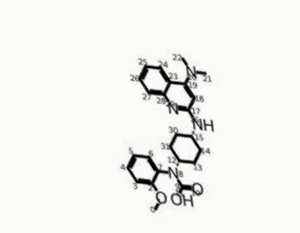 COc1ccccc1N(C(=O)O)[C@H]1CC[C@@H](Nc2cc(N(C)C)c3ccccc3n2)CC1